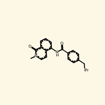 CC(C)Cc1ccc(C(=O)Nc2cccc3c(=O)n(C)ccc23)cc1